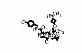 CNC1CC(OCC(C)(C)S(=O)(=O)C2(CN3CCn4c(cnc4C(=O)NCc4ccc(Cl)cc4)C3=O)CC2)C1